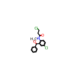 CN(C(=O)CCCl)c1ccc(Cl)cc1C(=O)c1ccccc1